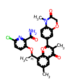 Cc1cc([C@@H](C)Oc2ccc(Cl)nc2C(N)=O)c2oc(-c3ccc4c(c3)OCC(=O)N4C)c(C)c(=O)c2c1